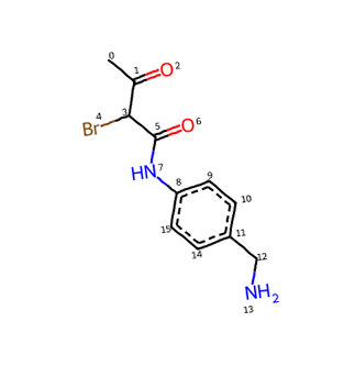 CC(=O)C(Br)C(=O)Nc1ccc(CN)cc1